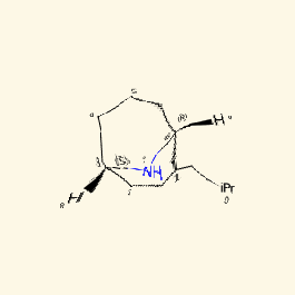 CC(C)C1C[C@@H]2CC[C@H]1N2